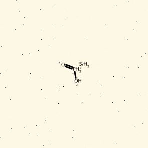 O=[PH2]O.[SrH2]